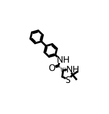 CC1(C)N[C@@H](C(=O)Nc2ccc(-c3ccccc3)cc2)CS1